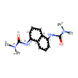 CCN(C(=O)Nc1cccc2c(NC(=O)N(CC)C(C)C)cccc12)C(C)C